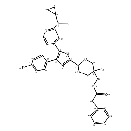 CN(c1nccc(-c2[nH]c(C3OCC(C)(CNC(=O)Cc4ccccc4)CO3)nc2-c2ccc(F)cc2)n1)C1CC1